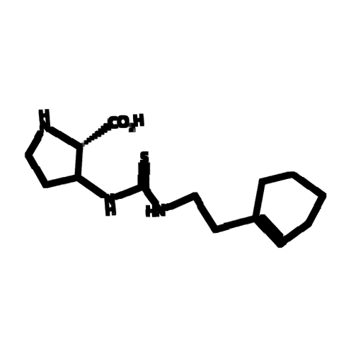 O=C(O)[C@H]1NCCC1NC(=S)NCCC1=CCCCC1